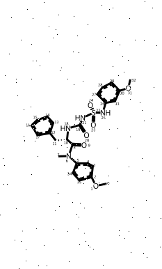 COc1ccc(N(C)C(=O)[C@H](Cc2ccccc2)NC(=O)NS(=O)(=O)Nc2cccc(OC)c2)cc1